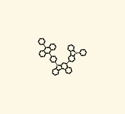 c1ccc(-c2c3ccccc3c(-c3ccc(-n4c5ccccc5c5c6ccccc6c(-c6ccc7c(c6)c6ccccc6n7-c6ccccc6)cc54)cc3)c3ccccc23)cc1